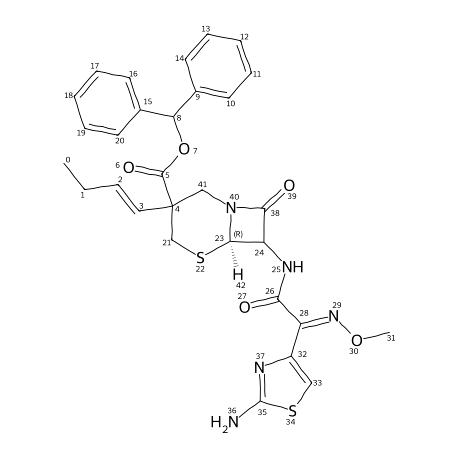 CCC=CC1(C(=O)OC(c2ccccc2)c2ccccc2)CS[C@@H]2C(NC(=O)C(=NOC)c3csc(N)n3)C(=O)N2C1